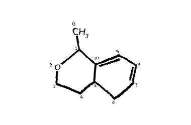 CC1OCCC2CC=CC=C21